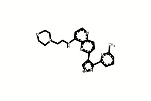 Cc1cccc(-c2n[nH]cc2-c2ccc3nccc(NCCN4CCOCC4)c3n2)n1